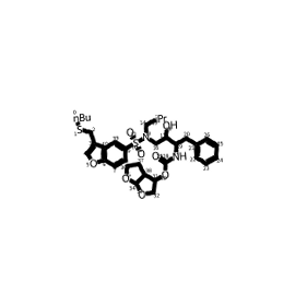 CCCCSCc1coc2ccc(S(=O)(=O)N(CC(C)C)CC(O)C(Cc3ccccc3)NC(=O)OC3COC4OCCC34)cc12